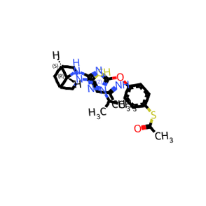 CC(=N)/C=C(\S)N1CC2C[C@@H](C1)[C@@H]2Nc1nc(Oc2ccc(SC(C)=O)cc2)n(C(C)C)n1